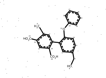 Cc1cc(-c2cc(CO)ccc2Oc2ccccc2)c(C(=O)O)cc1C(=O)O